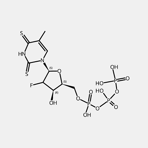 Cc1cn([C@H]2O[C@@H](COP(=O)(O)OP(=O)(O)OP(=O)(O)O)[C@@H](O)C2F)c(=S)[nH]c1=S